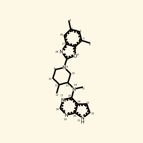 Cc1cc(C)c2oc(N3CCC(C)C(N(C)c4ncnc5[nH]ccc45)C3)nc2c1